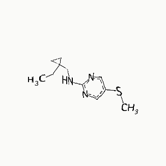 CCC1(CNc2ncc(SC)cn2)CC1